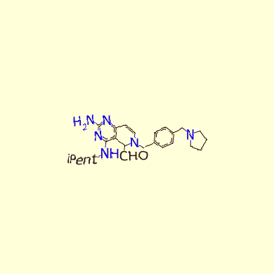 CCCC(C)Nc1nc(N)nc2c1C(C=O)N(Cc1ccc(CN3CCCC3)cc1)C=C2